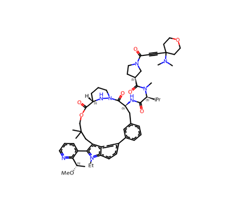 CCn1c(-c2cccnc2[C@H](C)OC)c2c3cc(ccc31)-c1cccc(c1)C[C@H](NC(=O)[C@H](C(C)C)N(C)C(=O)[C@H]1CCN(C(=O)C#CC3(N(C)C)CCOCC3)C1)C(=O)N1CCC[C@H](N1)C(=O)OCC(C)(C)C2